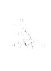 CC(N)C(=O)O.CC(NC1CCCCC1)C(=O)O.CCC(C)C(N)C(=O)O.N=C(N)NCCCC(N)C(=O)O